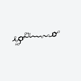 CC(=O)Oc1ccc([C@@H](O)CNCCCCCCOCCOCc2ccc(Cl)cc2)cc1CO